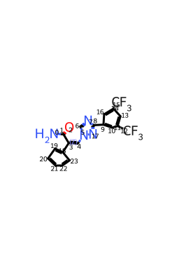 NC(=O)/C(=C\n1cnc(-c2cc(C(F)(F)F)cc(C(F)(F)F)c2)n1)c1ccccc1